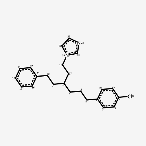 Clc1ccc(CCCC(CCc2ccccc2)CCn2ccnc2)cc1